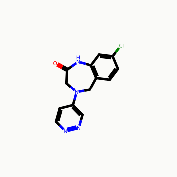 O=C1CN(c2ccnnc2)Cc2ccc(Cl)cc2N1